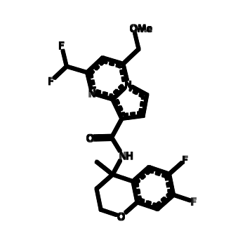 COCc1cc(C(F)F)nc2c(C(=O)NC3(C)CCOc4cc(F)c(F)cc43)ccn12